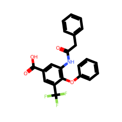 O=C(Cc1ccccc1)Nc1cc(C(=O)O)cc(C(F)(F)F)c1Oc1ccccc1